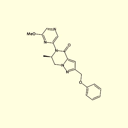 COc1cncc(N2C(=O)c3cc(COc4ccccc4)nn3C[C@H]2C)n1